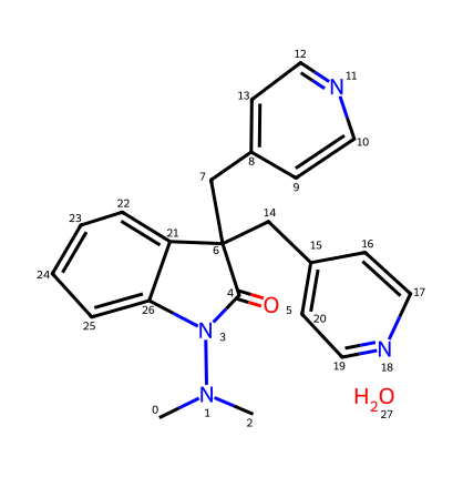 CN(C)N1C(=O)C(Cc2ccncc2)(Cc2ccncc2)c2ccccc21.O